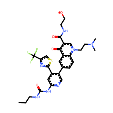 CCCNC(=O)Nc1cc(-c2nc(C(F)(F)F)cs2)c(-c2ccc3c(c2)c(=O)c(C(=O)NCCO)cn3CCN(C)C)cn1